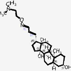 CN(C)CCO/N=C/C=C/[C@H]1CC[C@]2(O)[C@@H]3CC[C@@H]4C[C@@H](O)CC[C@]4(C)[C@H]3CC[C@]12C